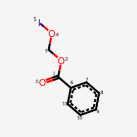 O=C(OCOI)c1ccccc1